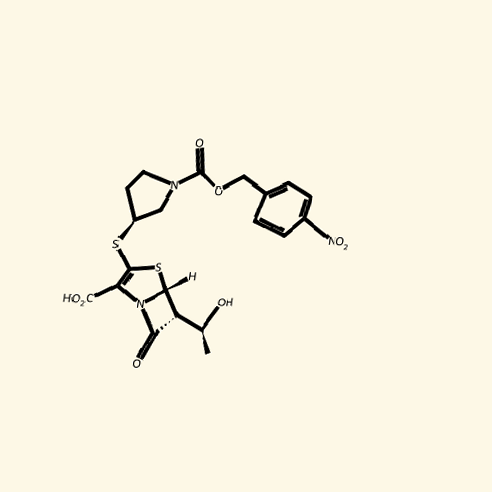 C[C@H](O)[C@@H]1C(=O)N2C(C(=O)O)=C(S[C@H]3CCN(C(=O)OCc4ccc([N+](=O)[O-])cc4)C3)S[C@H]12